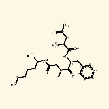 CN(CC(=O)N[C@@H](CCCCN)C(=O)O)C(=O)[C@H](Cc1cccnc1)NC(=O)[C@@H](N)CC(N)=O